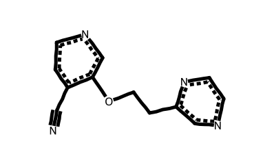 N#Cc1ccncc1OCCc1cnccn1